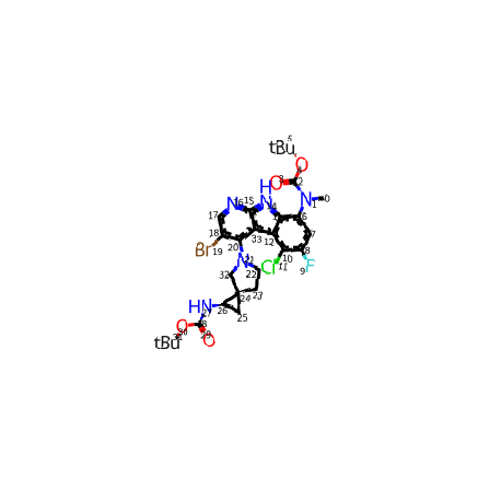 CN(C(=O)OC(C)(C)C)c1cc(F)c(Cl)c2c1[nH]c1ncc(Br)c(N3CC[C@]4(C[C@H]4NC(=O)OC(C)(C)C)C3)c12